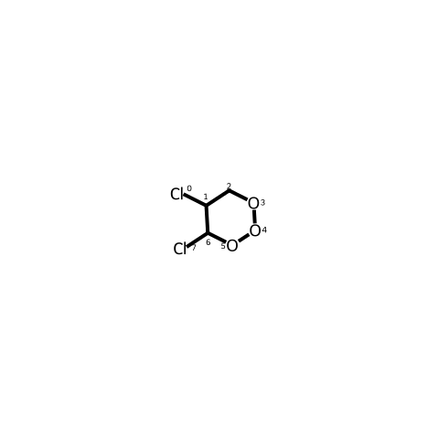 ClC1COOOC1Cl